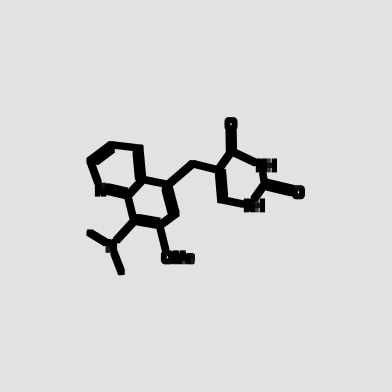 COc1cc(Cc2c[nH]c(=O)[nH]c2=O)c2cccnc2c1N(C)C